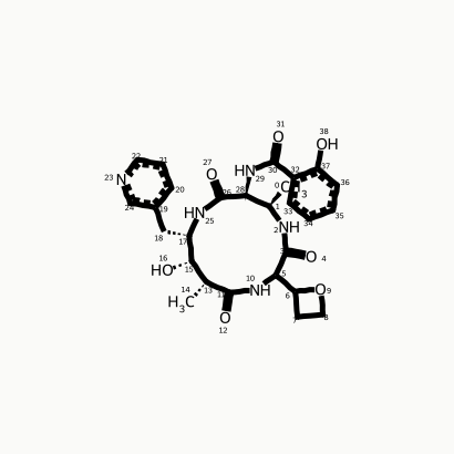 C[C@H]1NC(=O)C(C2CCO2)NC(=O)[C@H](C)[C@H](O)[C@H](Cc2cccnc2)NC(=O)[C@H]1NC(=O)c1ccccc1O